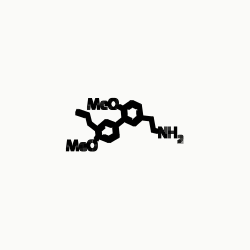 C=CCc1cc(-c2cc(CCN)ccc2OC)ccc1OC